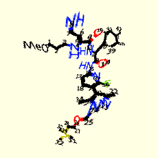 COCCCN/C(=C\C=N)C(=O)N[C@H](C(=O)Nc1ccc(-c2c(C)nn(COCCS(C)(C)C)c2C)c(F)n1)[C@H]1CC[C@H](C)CC1